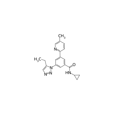 CCc1cnnn1-c1cc(C(=O)NC2CC2)cc(-c2ccc(C)cn2)c1